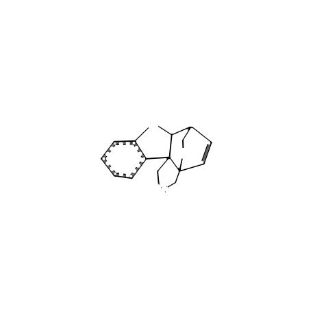 C1=CC23CCC1C1Oc4ccccc4C12CCNC3